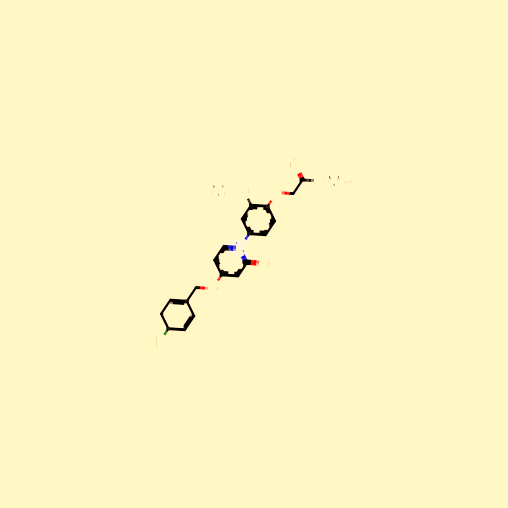 COC(=O)COc1ccc(-n2ccc(OCC3=CCC(F)C=C3)cc2=O)cc1OC